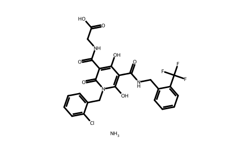 N.O=C(O)CNC(=O)c1c(O)c(C(=O)NCc2ccccc2C(F)(F)F)c(O)n(Cc2ccccc2Cl)c1=O